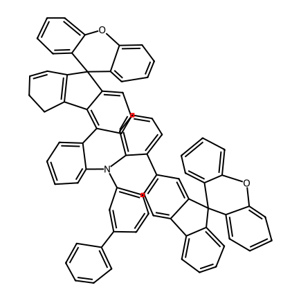 C1=CC2=C(CC1)c1c(-c3ccccc3N(c3cccc(-c4ccccc4)c3)c3ccccc3-c3ccc4c(c3)C3(c5ccccc5Oc5ccccc53)c3ccccc3-4)cccc1C21c2ccccc2Oc2ccccc21